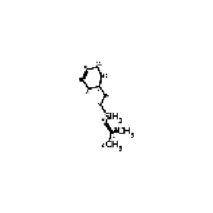 CC(C)=C[SiH2]CCC1CC=CCC1